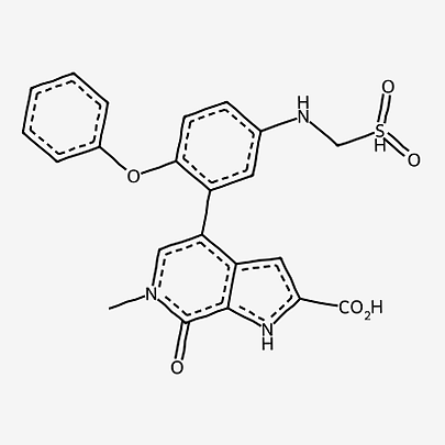 Cn1cc(-c2cc(NC[SH](=O)=O)ccc2Oc2ccccc2)c2cc(C(=O)O)[nH]c2c1=O